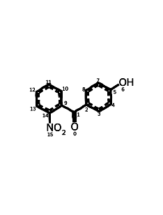 O=C(c1ccc(O)cc1)c1ccccc1[N+](=O)[O-]